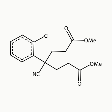 COC(=O)CCC(C#N)(CCC(=O)OC)c1ccccc1Cl